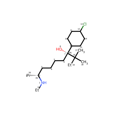 CCN[C@@H](CCCC[C@@](O)(C1CCC(Cl)CC1)C(C)(C)CC)C(C)C